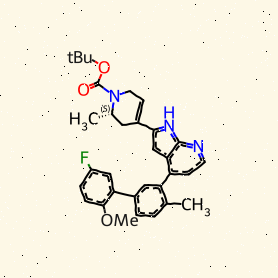 COc1ccc(F)cc1-c1ccc(C)c(-c2ccnc3[nH]c(C4=CCN(C(=O)OC(C)(C)C)[C@@H](C)C4)cc23)c1